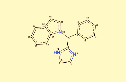 c1ccc(C(c2ncc[nH]2)n2ccc3ccccc32)cc1